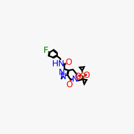 Cn1nc(C(=O)NCc2ccc(F)cc2)c2c1C(=O)N(CC1(S(=O)(=O)C3CC3)CC1)CC2